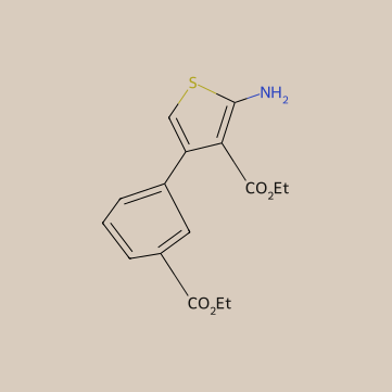 CCOC(=O)c1cccc(-c2csc(N)c2C(=O)OCC)c1